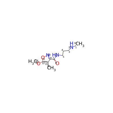 CCNCCCNC(=O)c1noc(OC)c1C